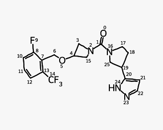 O=C(N1CC(OCc2c(F)cccc2C(F)(F)F)C1)N1CCC(c2ccn[nH]2)C1